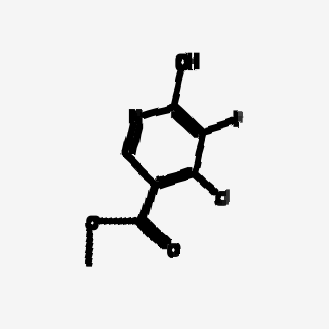 COC(=O)c1cnc(O)c(F)c1Cl